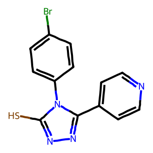 Sc1nnc(-c2ccncc2)n1-c1ccc(Br)cc1